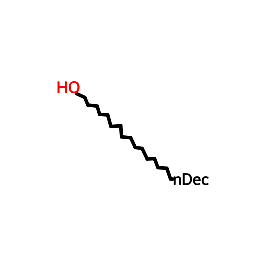 CCCCCCCCCCCCCCCCCCCCCCCCCCCO